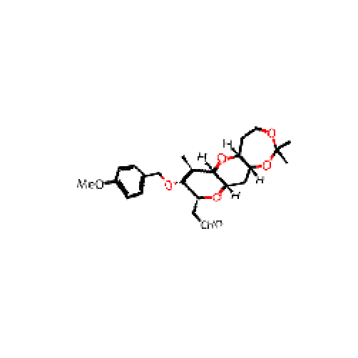 COc1ccc(CO[C@@H]2[C@@H](C)[C@@H]3O[C@@H]4CCOC(C)(C)O[C@@H]4C[C@@H]3O[C@H]2CC=O)cc1